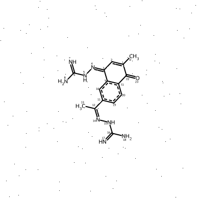 CC1=C/C(=N/NC(=N)N)c2cc(/C(C)=N\NC(=N)N)ccc2C1=O